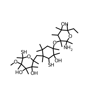 CCC1(C)OC(C)(N)C(C)(OC2(C)CC(C)(C)C(C)(CC3(C)OC(C)(S)C(C)(OC)C(C)(O)C3(C)O)C(S)C2(C)O)C(C)C1(C)O